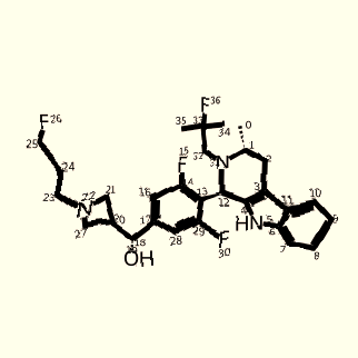 C[C@@H]1Cc2c([nH]c3ccccc23)[C@@H](c2c(F)cc([C@H](O)C3CN(CCCF)C3)cc2F)N1CC(C)(C)F